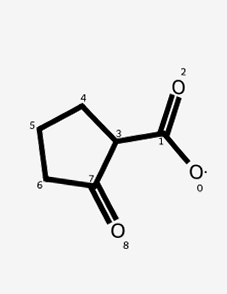 [O]C(=O)C1CCCC1=O